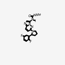 CNC(=O)N(I)c1cnc2ccc(N3CCCC3c3cc(F)ccc3F)nn12